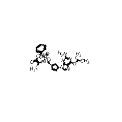 CC(C)Oc1nc(N)nc2c1ncn2[C@H]1C=C[C@@H](CO[P@](=O)(NC(C)C(=O)O)Oc2ccccc2)C1